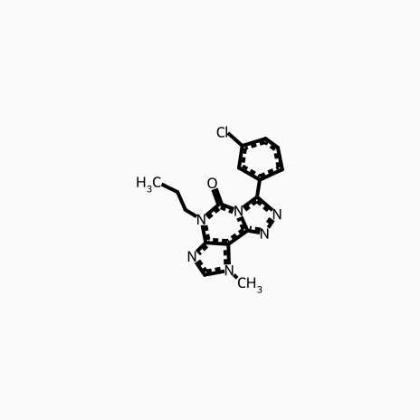 CCCn1c(=O)n2c(-c3cccc(Cl)c3)nnc2c2c1ncn2C